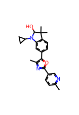 Cc1ccc(-c2nc(C)c(-c3ccc4c(c3)N(C3CC3)C(O)C4(C)C)o2)cn1